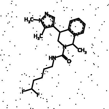 Cc1c(C2CN(C(=O)NCCCCC(F)F)C(C)c3ccccc32)cnn1C